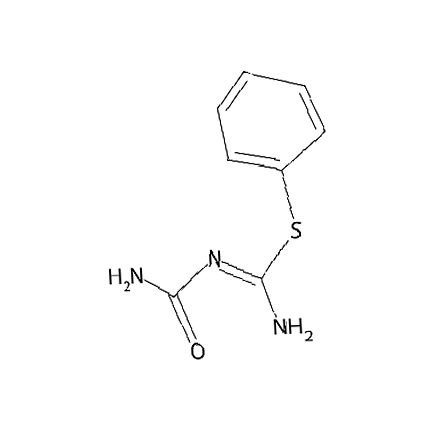 NC(=O)N=C(N)Sc1ccccc1